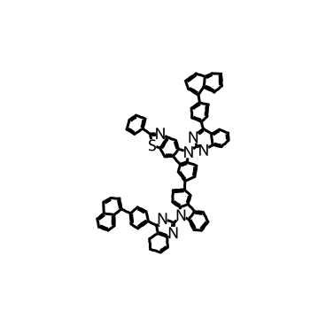 C1=Cc2nc(-n3c4ccccc4c4cc(-c5ccc6c(c5)c5cc7sc(-c8ccccc8)nc7cc5n6-c5nc(-c6ccc(-c7cccc8ccccc78)cc6)c6ccccc6n5)ccc43)nc(-c3ccc(-c4cccc5ccccc45)cc3)c2CC1